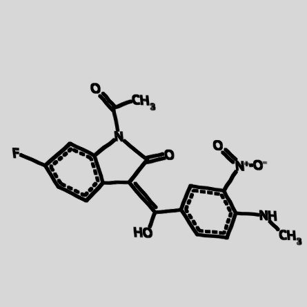 CNc1ccc(C(O)=C2C(=O)N(C(C)=O)c3cc(F)ccc32)cc1[N+](=O)[O-]